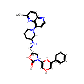 COc1ccc2nccc(N3CCCC(NC[C@@H]4CN(C5=COC=C(C6=CC=CCC6)O5)C(=O)O4)C3)c2n1